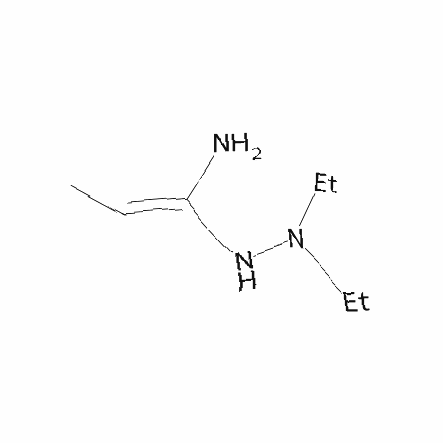 CC=C(N)NN(CC)CC